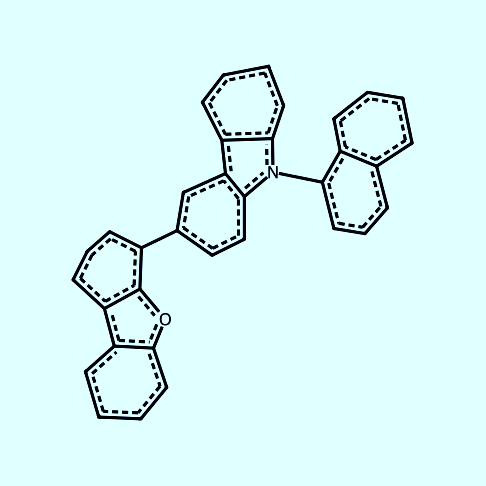 c1ccc2c(-n3c4ccccc4c4cc(-c5cccc6c5oc5ccccc56)ccc43)cccc2c1